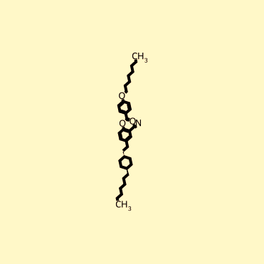 CCCCCCCCOc1ccc(C(=O)Oc2ccc(CC[C@H]3CC[C@H](CCCCCCC)CC3)cc2C#N)cc1